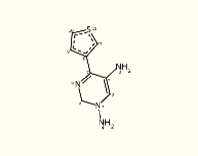 NC1=CN(N)CN=C1c1ccsc1